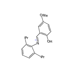 COc1ccc(O)c(/C=N/c2c(C(C)C)cccc2C(C)C)c1